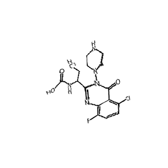 CCC(NC(=O)O)c1nc2c(F)ccc(Cl)c2c(=O)n1N1CCNCC1